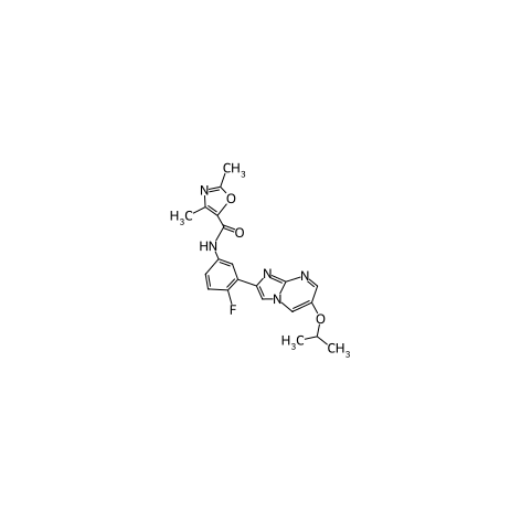 Cc1nc(C)c(C(=O)Nc2ccc(F)c(-c3cn4cc(OC(C)C)cnc4n3)c2)o1